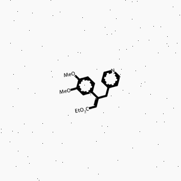 CCOC(=O)C=C(Cc1ccncc1)c1ccc(OC)c(OC)c1